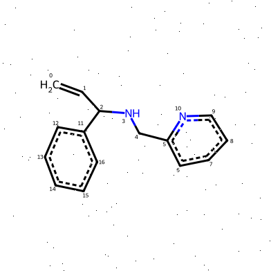 C=CC(NCc1ccccn1)c1ccccc1